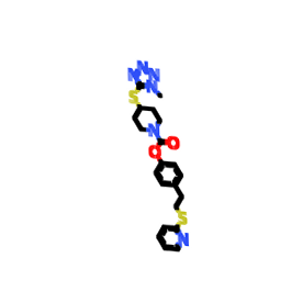 Cn1nnnc1SC1CCN(C(=O)Oc2ccc(CCSc3ccccn3)cc2)CC1